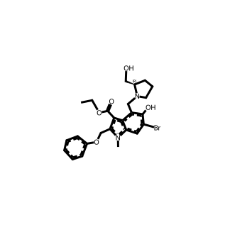 CCOC(=O)c1c(COc2ccccc2)n(C)c2cc(Br)c(O)c(CN3CCC[C@@H]3CO)c12